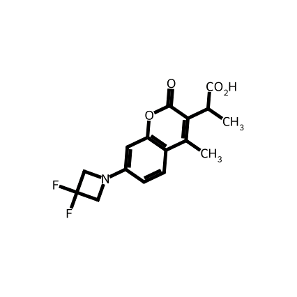 Cc1c(C(C)C(=O)O)c(=O)oc2cc(N3CC(F)(F)C3)ccc12